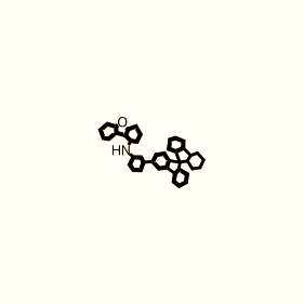 c1cc(Nc2cccc3oc4ccccc4c23)cc(-c2ccc3c(c2)-c2ccccc2C32c3ccccc3C3CCCCC32)c1